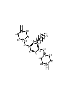 Cl.Cl.Cl.Cl.c1cc(CN2CCNCC2)ccc1CN1CCNCC1